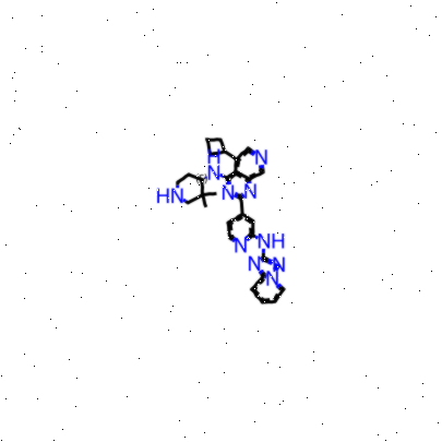 CC1(C)CNCC[C@@H]1Nc1nc(-c2ccnc(Nc3nc4ccccn4n3)c2)nc2cncc(C3CCC3)c12